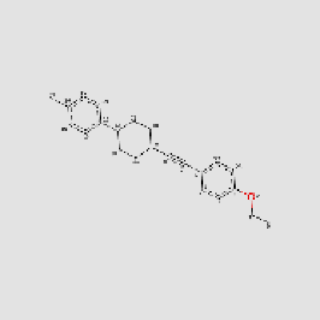 CCOc1ccc(C#CC2CCC(c3ccc(C)cc3)CC2)cc1